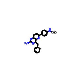 Nc1nc(Cc2ccccc2)c2nc(-c3ccc(NC=O)cc3)ccc2n1